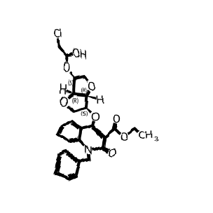 CCOC(=O)c1c(O[C@H]2CO[C@H]3[C@@H]2OC[C@@H]3OC(O)CCl)c2ccccc2n(Cc2ccccc2)c1=O